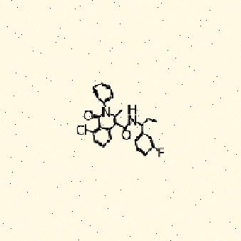 CC[C@H](NC(=O)c1c(C)n(-c2ccccc2)c(=O)c2c(Cl)cccc12)c1cccc(F)c1